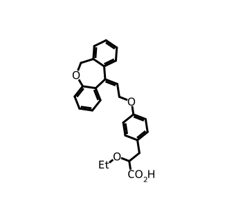 CCOC(Cc1ccc(OC/C=C2/c3ccccc3COc3ccccc32)cc1)C(=O)O